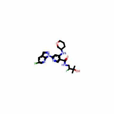 CC(C)(O)C(F)CNC(=O)c1cnc(-n2ncc3cc(F)cnc32)cc1NC1CCCOC1